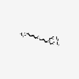 CCCCCOCCCN(CC)CC